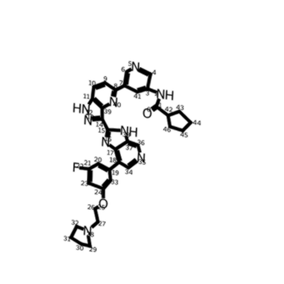 O=C(Nc1cncc(-c2ccc3[nH]nc(-c4nc5c(-c6cc(F)cc(OCCN7CCCC7)c6)cncc5[nH]4)c3n2)c1)C1CCCC1